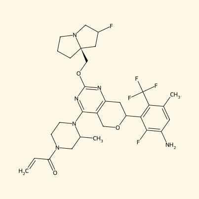 C=CC(=O)N1CCN(c2nc(OC[C@@]34CCCN3CC(F)C4)nc3c2COC(c2c(F)c(N)cc(C)c2C(F)(F)F)C3)C(C)C1